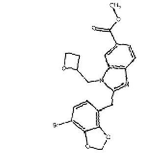 COC(=O)c1ccc2nc(Cc3ccc(Br)c4c3OCO4)n(CC3CCO3)c2c1